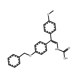 COc1ccc(C(=CNC(=O)O)c2ccc(OCc3ccccc3)cc2)cc1